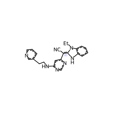 CCN1/C(=C(\C#N)c2cc(NCCc3cccnc3)ncn2)Nc2ccccc21